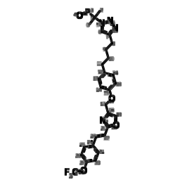 CC(C)(P=O)n1cc(CCCCc2ccc(OCc3coc(C=Cc4ccc(OC(F)(F)F)cc4)n3)cc2)nn1